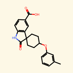 Cc1cccc(OC2CCC3(CC2)C(=O)Nc2ccc(C(=O)O)cc23)c1